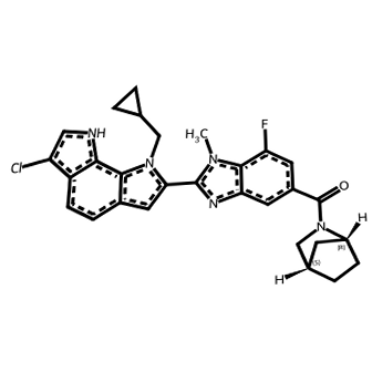 Cn1c(-c2cc3ccc4c(Cl)c[nH]c4c3n2CC2CC2)nc2cc(C(=O)N3C[C@H]4CC[C@@H]3C4)cc(F)c21